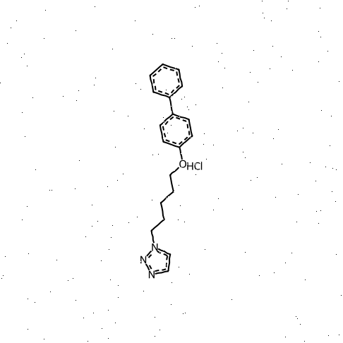 Cl.c1ccc(-c2ccc(OCCCCCn3ccnn3)cc2)cc1